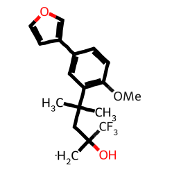 [CH2]C(O)(CC(C)(C)c1cc(-c2ccoc2)ccc1OC)C(F)(F)F